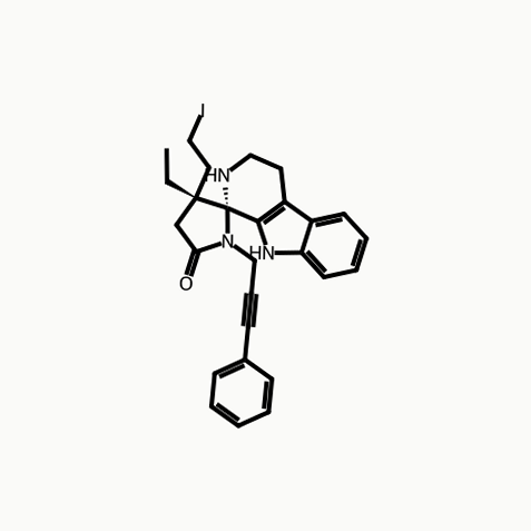 CC[C@]1(CCI)CC(=O)N(CC#Cc2ccccc2)[C@@]12NCCc1c2[nH]c2ccccc12